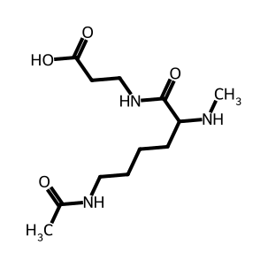 CNC(CCCCNC(C)=O)C(=O)NCCC(=O)O